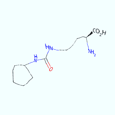 N[C@@H](CCNC(=O)NC1CCCC1)C(=O)O